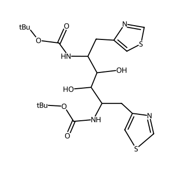 CC(C)(C)OC(=O)NC(Cc1cscn1)C(O)C(O)C(Cc1cscn1)NC(=O)OC(C)(C)C